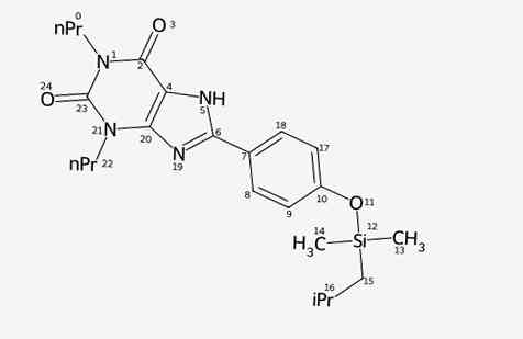 CCCn1c(=O)c2[nH]c(-c3ccc(O[Si](C)(C)CC(C)C)cc3)nc2n(CCC)c1=O